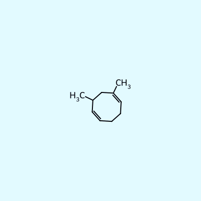 CC1=CCCC=CC(C)C1